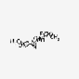 CC[S+]([O-])c1ccc(-c2cncc(C(=O)N/N=C/c3cc(OC)ccc3F)n2)cn1